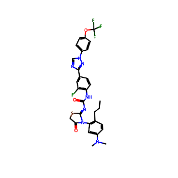 CCCc1ccc(N(C)C)cc1N1C(=O)CS/C1=N\C(=O)Nc1ccc(-c2ncn(-c3ccc(OC(F)(F)F)cc3)n2)cc1F